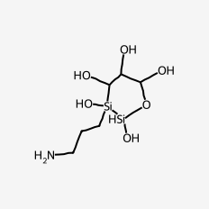 NCCC[Si]1(O)C(O)C(O)C(O)O[SiH]1O